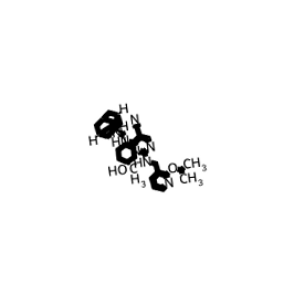 CC(C)Oc1ncccc1CNc1ncc(C#N)c(NC[C@]23CC4C[C@H](C2)[C@@H](NC[C@H]2CC[C@](C)(O)CC2)[C@@H](C4)C3)n1